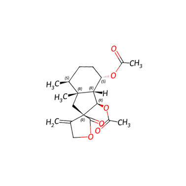 C=C1COC(=O)[C@]12C[C@@]1(C)[C@H]([C@@H](OC(C)=O)CC[C@@H]1C)[C@H]2OC(C)=O